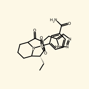 CC[C@H]1CN(Cc2cnn[nH]2)C(=O)C2CCCC1N2S(=O)(=O)c1cccc(C(N)=O)c1